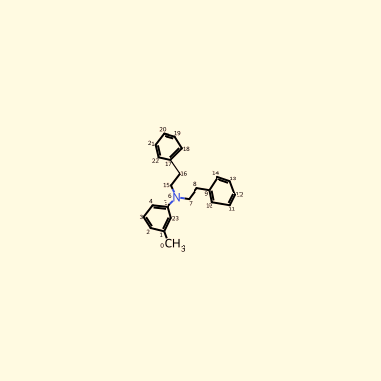 Cc1cccc(N(CCc2ccccc2)CCc2ccccc2)c1